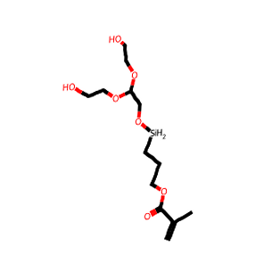 C=C(C)C(=O)OCCC[SiH2]OCC(OCCO)OCCO